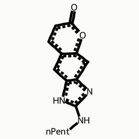 CCCCCNc1nc2cc3oc(=O)ccc3cc2[nH]1